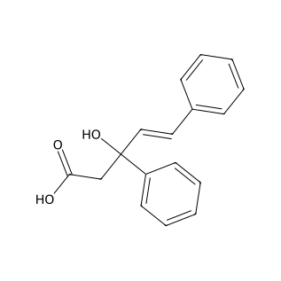 O=C(O)CC(O)(C=Cc1ccccc1)c1ccccc1